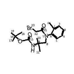 Cc1ccccc1N(CC(C)(C)NC(=O)OC(C)(C)C)C(=O)CBr